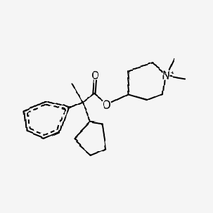 CC(C(=O)OC1CC[N+](C)(C)CC1)(c1ccccc1)C1CCCC1